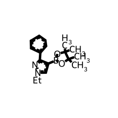 CCn1cc(B2OC(C)(C)C(C)(C)O2)c(-c2ccccc2)n1